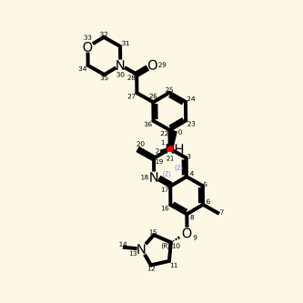 C=C(C)/C=C1/C=C(C)C(O[C@@H]2CCN(C)C2)=C/C1=N/C(=C)Nc1cccc(CC(=O)N2CCOCC2)c1